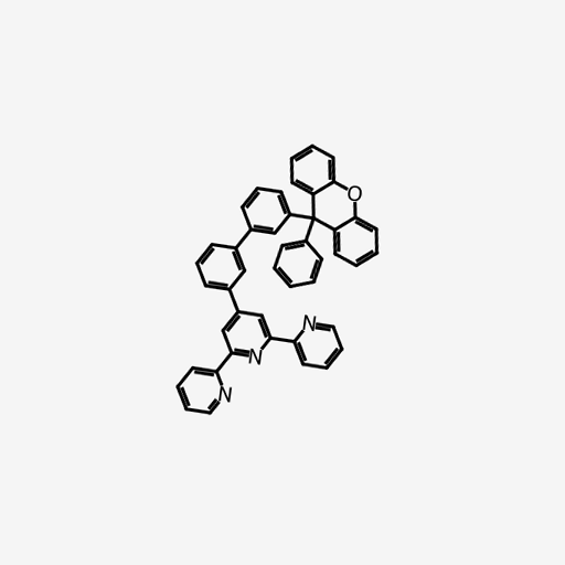 c1ccc(C2(c3cccc(-c4cccc(-c5cc(-c6ccccn6)nc(-c6ccccn6)c5)c4)c3)c3ccccc3Oc3ccccc32)cc1